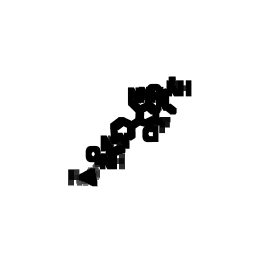 CNC(=O)N(C)c1c(F)c(Cl)c(-c2ccc3nc(NC(=O)[C@@H]4C[C@@H]4F)cn3c2)c2cn[nH]c12